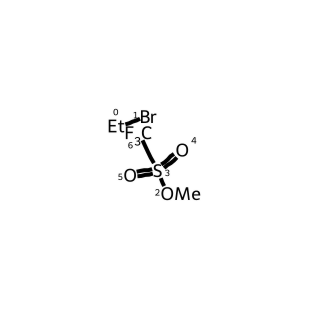 CCBr.COS(=O)(=O)C(F)(F)F